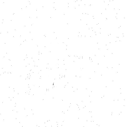 CCN(C(=O)NC(CC(=O)N[C@H](C(=O)C1C(=O)NC(=O)[C@H]1C)C(C)C)c1ccccc1)C1CCCCC1